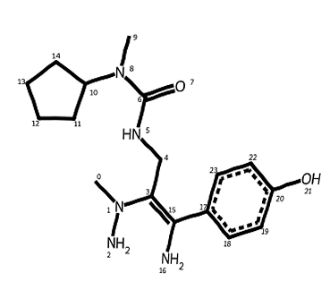 CN(N)/C(CNC(=O)N(C)C1CCCC1)=C(\N)c1ccc(O)cc1